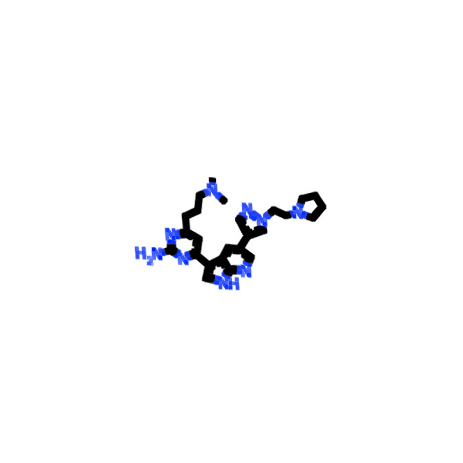 CN(C)CCCc1cc(-c2c[nH]c3ncc(-c4cnn(CCN5CCCC5)c4)cc23)nc(N)n1